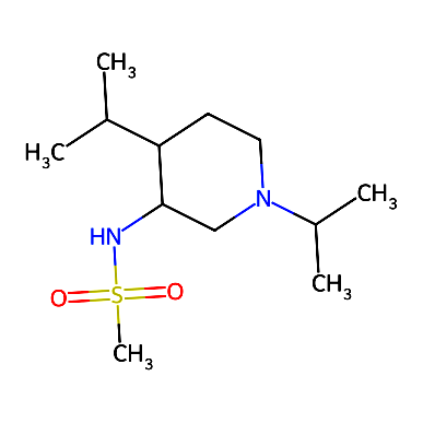 CC(C)C1CCN(C(C)C)CC1NS(C)(=O)=O